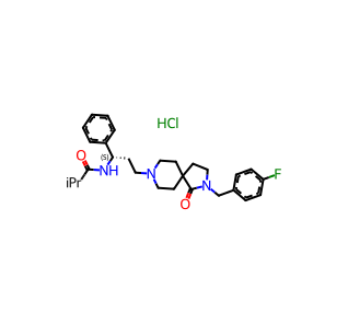 CC(C)C(=O)N[C@@H](CCN1CCC2(CC1)CCN(Cc1ccc(F)cc1)C2=O)c1ccccc1.Cl